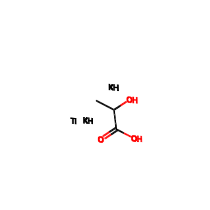 CC(O)C(=O)O.[KH].[KH].[Ti]